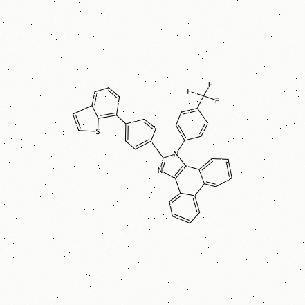 FC(F)(F)c1ccc(-n2c(-c3ccc(-c4cccc5ccsc45)cc3)nc3c4ccccc4c4ccccc4c32)cc1